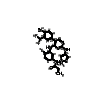 C=CC(=O)Nc1ccc(F)c(Nc2nc(Nc3cnn(C)c3)ncc2-c2ccc(Br)c(C(F)F)c2)c1